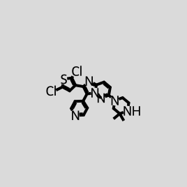 CC1(C)CN(c2ccc3nc(-c4cc(Cl)sc4Cl)c(-c4ccncc4)n3n2)CCN1